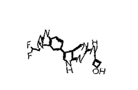 C[C@]1(O)C[C@@H](Nc2ncc3c(-c4ccc5nnn(CC(F)F)c5c4)c[nH]c3n2)C1